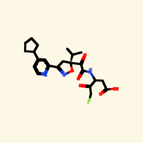 CC(C)[C@@]1(C(=O)C(=O)NC(CC(=O)O)C(=O)CF)CC(c2cc(C3CCCC3)ccn2)=NO1